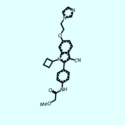 COCC(=O)Nc1ccc(-c2c(C#N)c3ccc(OCCn4ccnc4)cc3n2C2CCC2)cc1